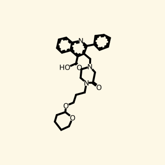 O=C(O)c1c(CN2CCN(CCCOC3CCCCO3)C(=O)C2)c(-c2ccccc2)nc2ccccc12